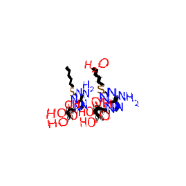 C=CCCCCSc1nc(N)c2ncn([C@@H]3O[C@H](CO)[C@@H](O)[C@H]3O)c2n1.C=CCCCCSc1nc(N)c2ncn([C@@H]3O[C@H](CO)[C@@H](O)[C@H]3O)c2n1.O